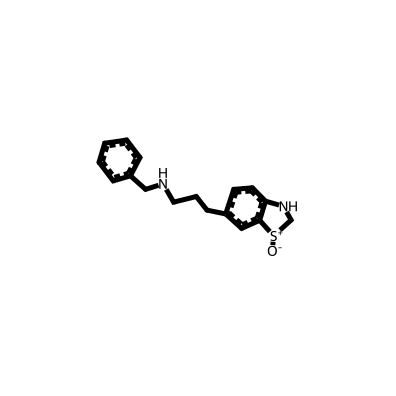 [O-][S+]1CNc2ccc(CCCNCc3ccccc3)cc21